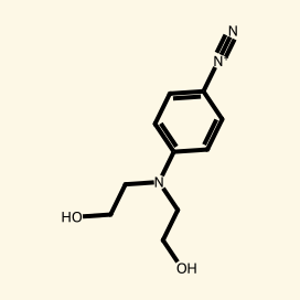 N#[N+]c1ccc(N(CCO)CCO)cc1